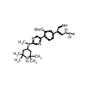 COc1cc(/C(C=N)=C/NPI)ccc1-c1cnc(N(C)C2CC(C)(C)NC(C)(C)C2)cn1